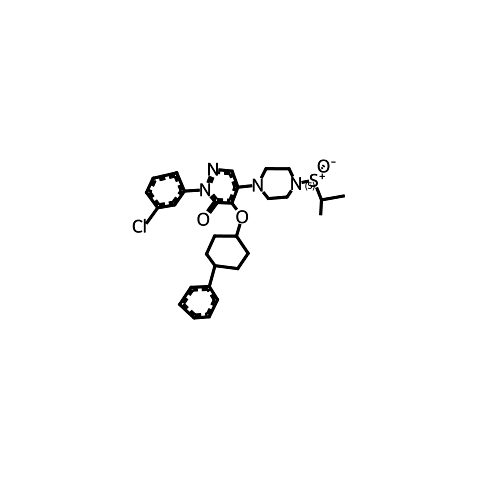 CC(C)[S@@+]([O-])N1CCN(c2cnn(-c3cccc(Cl)c3)c(=O)c2OC2CCC(c3ccccc3)CC2)CC1